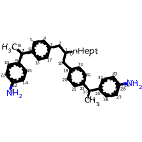 CCCCCCCC(Cc1ccc(C(C)c2ccc(N)cc2)cc1)Cc1ccc(C(C)c2ccc(N)cc2)cc1